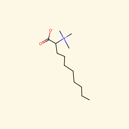 CCCCCCCCC(C(=O)[O-])[N+](C)(C)C